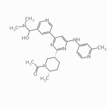 CC(=O)N1C[C@H](c2nc(Nc3ccnc(C)c3)cc(-c3cncc(C(O)N(C)C)c3)n2)CC[C@@H]1C